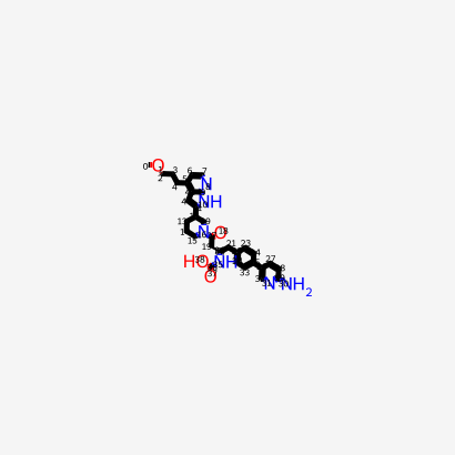 COCCCc1ccnc2[nH]c(C3CCCN(C(=O)C[C@@H](Cc4ccc(-c5ccc(N)nc5)cc4)NC(=O)O)C3)cc12